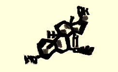 COC1=C2[C@@H]3C=C[C@H](O)[C@@]3(C)CC[C@@H]2[C@@]2(C)C=C[C@H](O)CC2=C1